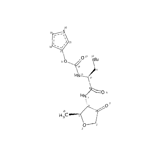 C[C@@H]1OCC(=O)[C@H]1NC(=O)[C@H](CC(C)(C)C)NC(=O)Oc1ccsc1